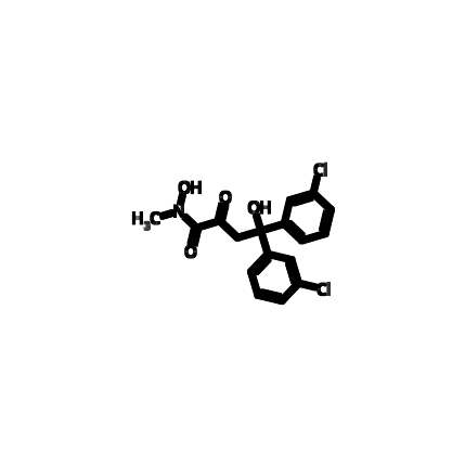 CN(O)C(=O)C(=O)CC(O)(c1cccc(Cl)c1)c1cccc(Cl)c1